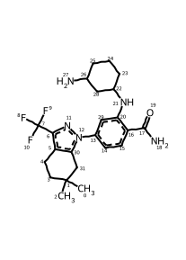 CC1(C)CCc2c(C(F)(F)F)nn(-c3ccc(C(N)=O)c(NC4CCCC(N)C4)c3)c2C1